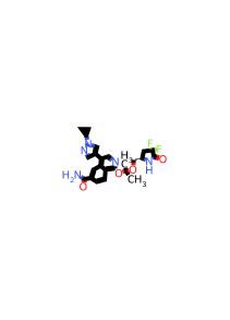 CC(C)(OC[C@@H]1CC(F)(F)C(=O)N1)Oc1ncc(-c2cnn(C3CC3)c2)c2cc(C(N)=O)ccc12